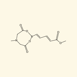 COC(=O)/C=C/C=C/B1OC(=O)CN(C)CC(=O)O1